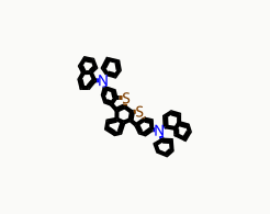 C1=CCCC(N(c2ccc3c(c2)sc2c4sc5cc(N(c6ccccc6)c6cccc7ccccc67)ccc5c4c4ccccc4c32)c2cccc3ccccc23)=C1